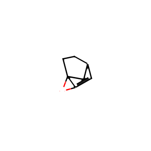 C1=C2OC23CCC1C3